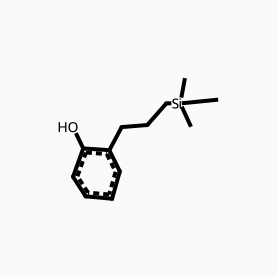 C[Si](C)(C)CCCc1ccccc1O